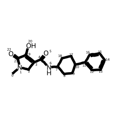 CN1CC(C(=O)NC2CCC(c3ccccc3)CC2)=C(O)C1=O